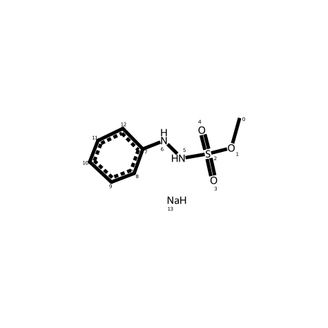 COS(=O)(=O)NNc1ccccc1.[NaH]